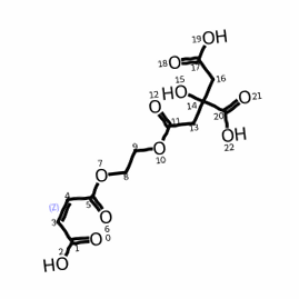 O=C(O)/C=C\C(=O)OCCOC(=O)CC(O)(CC(=O)O)C(=O)O